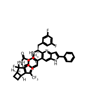 Cc1c(-c2cc3[nH]c(-c4ccccc4)cc3nc2[C@H](Cc2cc(F)cc(F)c2)NC(=O)Cn2nc(C(F)(F)F)c3c2C(F)(F)[C@@H]2CC[C@H]32)ccc2n[nH]c(=O)n12